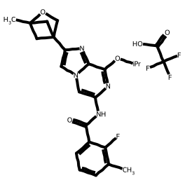 Cc1cccc(C(=O)Nc2cn3cc(C45COC(C)(C4)C5)nc3c(OC(C)C)n2)c1F.O=C(O)C(F)(F)F